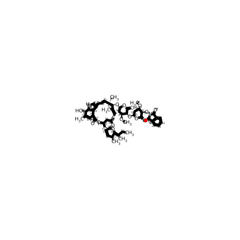 C=C1O[C@@H](O[C@@H]2/C(C)=C/C[C@@H]3C[C@@H](C[C@]4(C=C[C@H](C)/C(=C(\C)CC)O4)O3)OC(=O)[C@@H]3C=C(C)[C@@H](O)[C@H]4OC/C(=C\C=C\[C@@H]2C)[C@]43O)C[C@H](OC)[C@H]1O[C@H]1C[C@H](OC)[C@@H](ON2C(=O)c3ccccc3C2=O)C(=C)O1